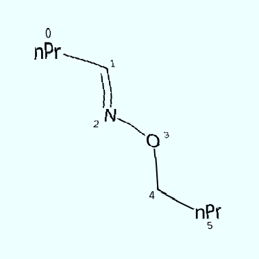 [CH2]CCC=NOCCCC